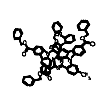 [C-]#[N+]c1ccccc1-c1ccc(-n2c3ccc(C(=O)OCc4ccccc4)cc3c3cc(C(=O)OCc4ccccc4)ccc32)c(-c2nc(-c3ccccc3)nc(-c3ccc(C(F)(F)F)cc3-n3c4ccc(C(=O)OCc5ccccc5)cc4c4cc(C(=O)OCc5ccccc5)ccc43)n2)c1